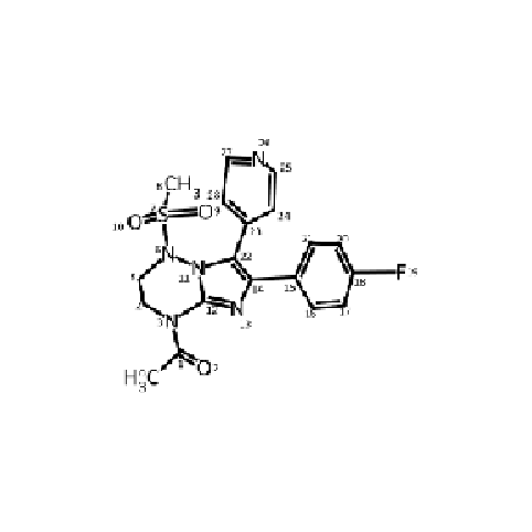 CC(=O)N1CCN(S(C)(=O)=O)n2c1nc(-c1ccc(F)cc1)c2-c1ccncc1